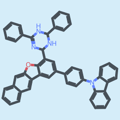 c1ccc(C2=NC(c3cc(-c4ccc(-n5c6ccccc6c6ccccc65)cc4)cc4c3oc3cc5ccccc5cc34)NC(c3ccccc3)N2)cc1